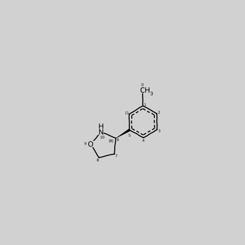 Cc1cccc([C@H]2CCON2)c1